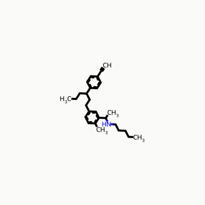 C#Cc1ccc(C(CCC)CCc2ccc(C)c(C(C)NCCCCC)c2)cc1